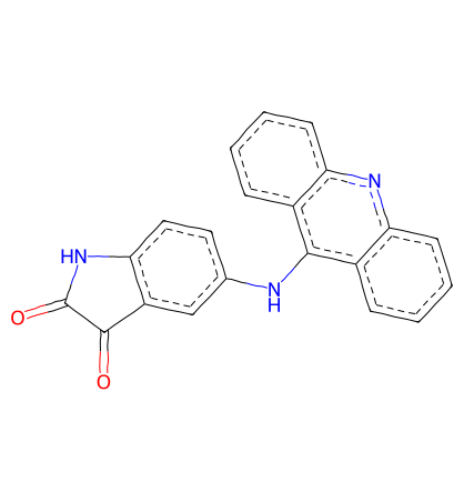 O=C1Nc2ccc(Nc3c4ccccc4nc4ccccc34)cc2C1=O